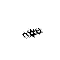 Cc1c(C)c(OC2CCCCO2)c(C)c(C)c1OC1CCCCO1